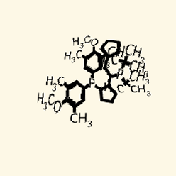 COc1c(C)cc(P(c2cc(C)c(OC)c(C)c2)C2CCCC2C(CC2CCCC2)P(C(C)(C)C)C(C)(C)C)cc1C